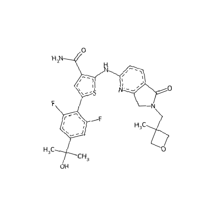 CC1(CN2Cc3nc(Nc4sc(-c5c(F)cc(C(C)(C)O)cc5F)cc4C(N)=O)ccc3C2=O)COC1